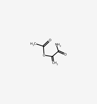 C=C(OC(C)=O)C(N)=O